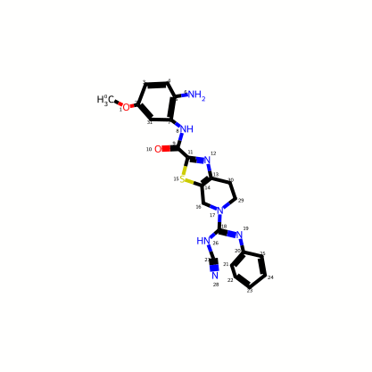 COc1ccc(N)c(NC(=O)c2nc3c(s2)CN(C(=Nc2ccccc2)NC#N)CC3)c1